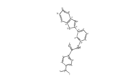 CN(C)c1ccc(C(=O)Nc2cccc(-c3nc4cnccc4s3)c2)cc1